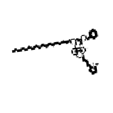 CCCCCCCCCCCCCCCCCCOCC(COP(=O)([O-])OCCCC[N+]1(C)CCCC1)OCc1ccccc1